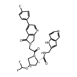 O=C(NCc1cc2cnccc2[nH]1)[C@@H]1C[C@@H](OC(F)F)CN1C(=O)CN1Cc2ncc(-c3ccc(F)cc3)cc2C1=O